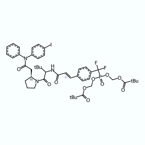 CC(C)(C)C(=O)OCOP(=O)(OCOC(=O)C(C)(C)C)C(F)(F)c1ccc(/C=C/C(=O)NC(C(=O)N2CCC[C@H]2CC(=O)N(c2ccccc2)c2ccc(I)cc2)C(C)(C)C)cc1